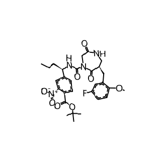 CCC[C@@H](NC(=O)N1CC(=O)NC[C@@H](Cc2cc(F)ccc2OC)C1=O)c1ccc(C(=O)OC(C)(C)C)c([N+](=O)[O-])c1